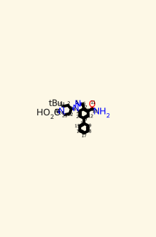 CC(C)(C)C1CC(n2ncc3c(C(N)=O)cc(-c4ccccc4)cc32)CCN1C(=O)O